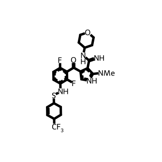 CNc1[nH]cc(C(=O)c2c(F)ccc(NSC3C=CC(C(F)(F)F)CC3)c2F)c1C(=N)NC1CCOCC1